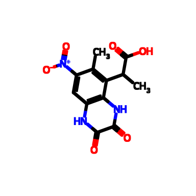 Cc1c([N+](=O)[O-])cc2[nH]c(=O)c(=O)[nH]c2c1C(C)C(=O)O